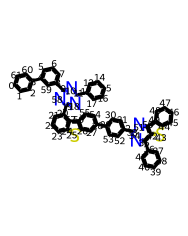 c1ccc(-c2cccc(-c3nc(-c4ccccc4)nc(-c4cccc5sc6cc(-c7ccc(-c8nc(-c9ccccc9)c9sc%10ccccc%10c9n8)cc7)ccc6c45)n3)c2)cc1